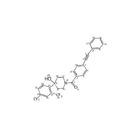 O=C(c1ccc(C#Cc2ccccc2)cc1)N1CCC(O)(c2ccc(Cl)cc2C(F)(F)F)CC1